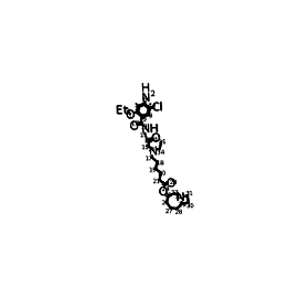 CCOc1cc(N)c(Cl)cc1C(=O)NC[C@H]1CN(CCCCCC(=O)OC2CCCC3CCN3C2)CCO1